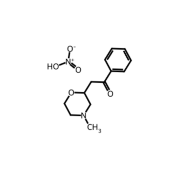 CN1CCOC(CC(=O)c2ccccc2)C1.O=[N+]([O-])O